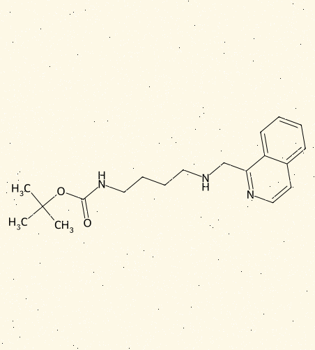 CC(C)(C)OC(=O)NCCCCNCc1nccc2ccccc12